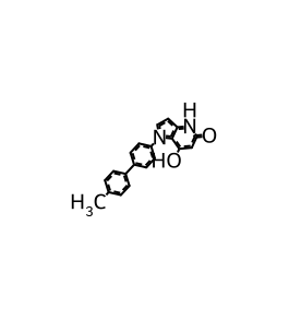 Cc1ccc(-c2ccc(-n3ccc4[nH]c(=O)cc(O)c43)cc2)cc1